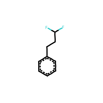 FC(F)CCc1cc[c]cc1